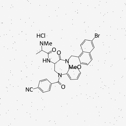 CNC(C)C(=O)NC1CN(C(=O)c2ccc(C#N)cc2)c2ccccc2N(Cc2c(OC)ccc3cc(Br)ccc23)C1=O.Cl